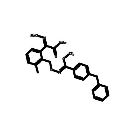 CNC(=O)/C(=N/OC)c1cccc(C)c1CO/N=C(\OC(F)(F)F)c1ccc(Cc2ccccc2)cc1